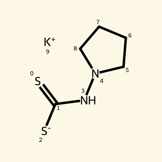 S=C([S-])NN1CCCC1.[K+]